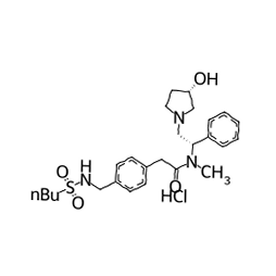 CCCCS(=O)(=O)NCc1ccc(CC(=O)N(C)[C@H](CN2CC[C@H](O)C2)c2ccccc2)cc1.Cl